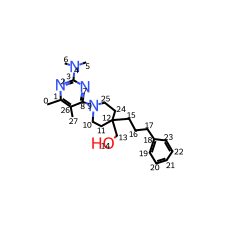 Cc1nc(N(C)C)nc(N2CCC(CO)(CCCc3ccccc3)CC2)c1C